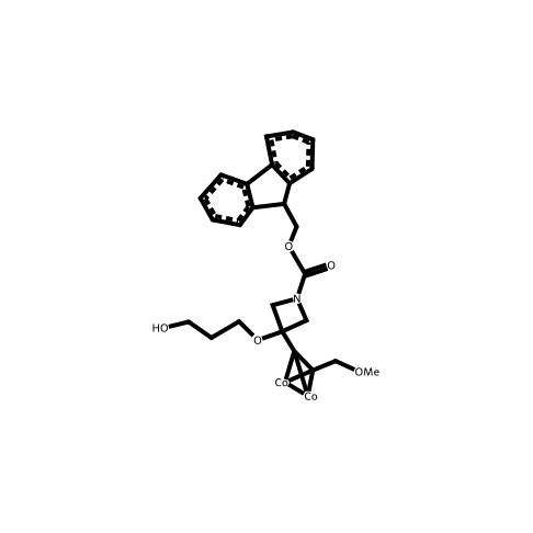 COC[C]12[Co]3[Co]1[C]32C1(OCCCO)CN(C(=O)OCC2c3ccccc3-c3ccccc32)C1